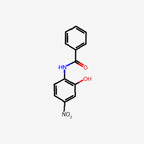 O=C(Nc1ccc([N+](=O)[O-])cc1O)c1ccccc1